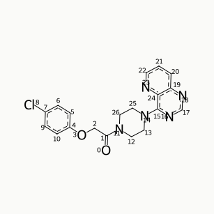 O=C(COc1ccc(Cl)cc1)N1CCN(c2ncnc3cccnc23)CC1